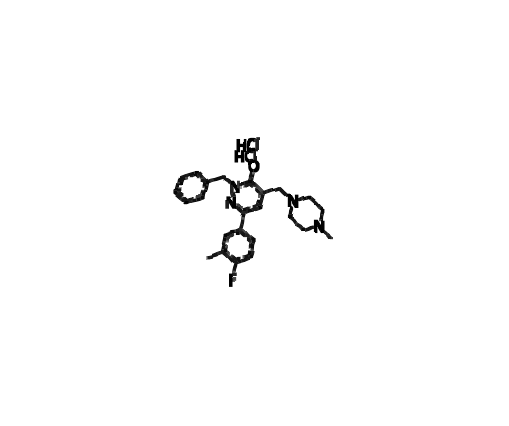 Cc1cc(-c2cc(CN3CCN(C)CC3)c(=O)n(Cc3ccccc3)n2)ccc1F.Cl.Cl